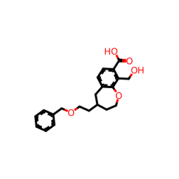 O=C(O)c1ccc2c(c1CO)OCCC(CCOCc1ccccc1)C2